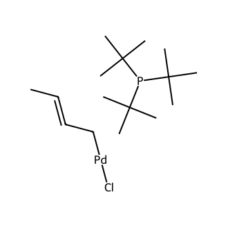 C/C=C/[CH2][Pd][Cl].CC(C)(C)P(C(C)(C)C)C(C)(C)C